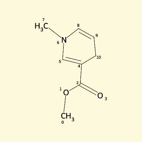 COC(=O)C1=CN(C)C=CC1